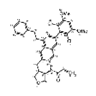 C=CC(=O)N[C@H]1COCC1Cc1ncc2cc(-c3c(Cl)c(OC)cc(OC)c3Cl)nc(CCc3ccccc3)c2n1